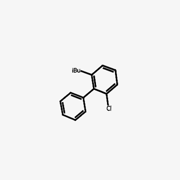 CCC(C)c1cccc(Cl)c1-c1ccccc1